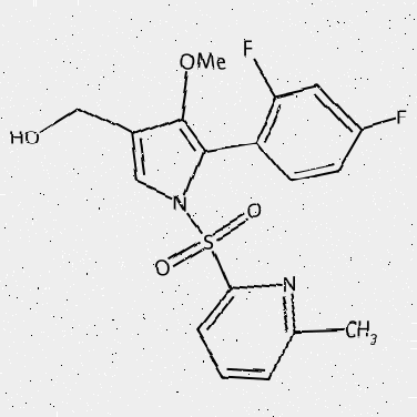 COc1c(CO)cn(S(=O)(=O)c2cccc(C)n2)c1-c1ccc(F)cc1F